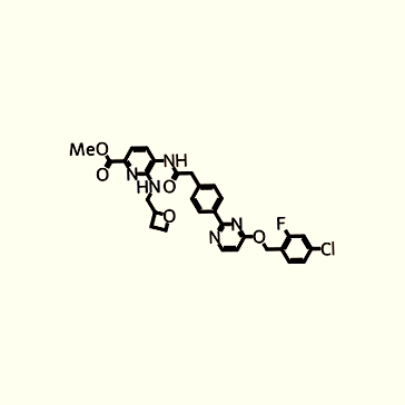 COC(=O)c1ccc(NC(=O)Cc2ccc(-c3nccc(OCc4ccc(Cl)cc4F)n3)cc2)c(NCC2CCO2)n1